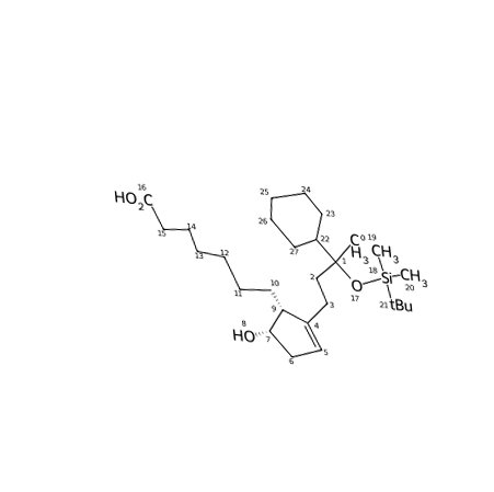 CC(CCC1=CC[C@H](O)[C@@H]1CCCCCCC(=O)O)(O[Si](C)(C)C(C)(C)C)C1CCCCC1